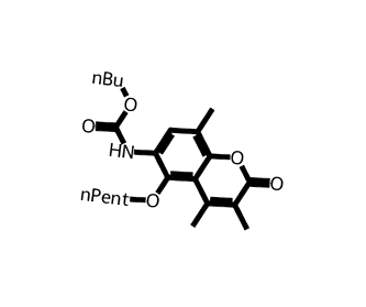 CCCCCOc1c(NC(=O)OCCCC)cc(C)c2oc(=O)c(C)c(C)c12